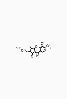 CCCOCCC1C(=O)N(Nc2ccc(C(F)(F)F)c(Cl)n2)C(=O)C1C